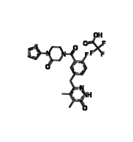 Cc1c(Cc2ccc(F)c(C(=O)N3CCN(c4cccs4)C(=O)C3)c2)n[nH]c(=O)c1C.O=C(O)C(F)(F)F